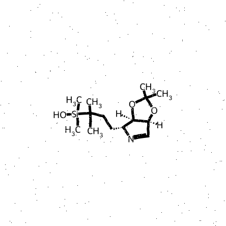 CC1(C)O[C@H]2[C@H](C=N[C@@H]2CCC(C)(C)[Si](C)(C)O)O1